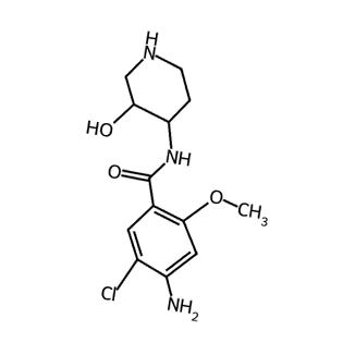 COc1cc(N)c(Cl)cc1C(=O)NC1CCNCC1O